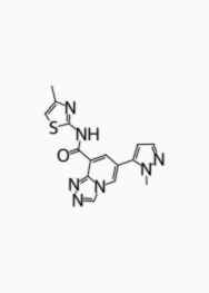 Cc1csc(NC(=O)c2cc(-c3ccnn3C)cn3cnnc23)n1